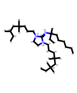 CCCCCCC(C)(CC)N=C1N(CCCC(C)(C)CC(C)CC)CCN1CCCC(C)(C)CC(C)(C)CC